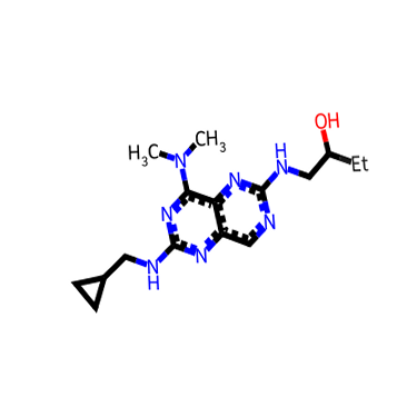 CCC(O)CNc1ncc2nc(NCC3CC3)nc(N(C)C)c2n1